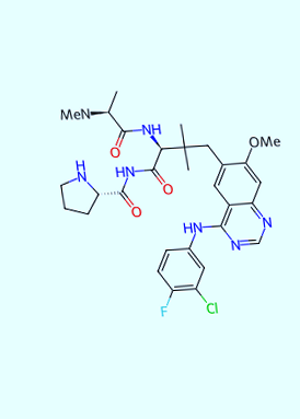 CN[C@@H](C)C(=O)N[C@H](C(=O)NC(=O)[C@@H]1CCCN1)C(C)(C)Cc1cc2c(Nc3ccc(F)c(Cl)c3)ncnc2cc1OC